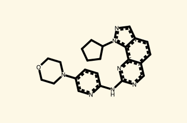 c1cc(Nc2ncc3ccc4cnn(C5CCCC5)c4c3n2)ncc1N1CCOCC1